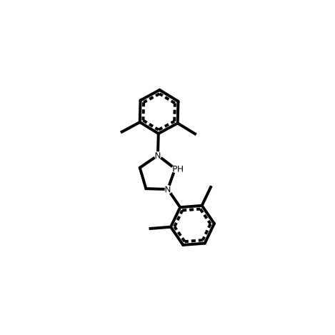 Cc1cccc(C)c1N1CCN(c2c(C)cccc2C)P1